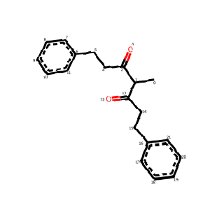 CC(C(=O)CCc1ccccc1)C(=O)CCc1ccccc1